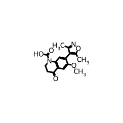 COc1cc2c(cc1-c1c(C)noc1C)N(C(=O)O)CCC2=O